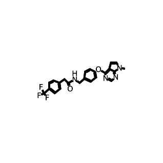 Cn1ccc2c(Oc3ccc(CNC(=O)Cc4ccc(C(F)(F)F)cc4)cc3)ncnc21